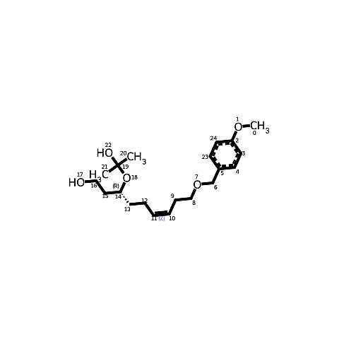 COc1ccc(COCC/C=C\CC[C@H](CCO)OC(C)(C)O)cc1